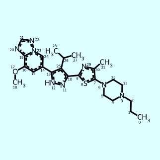 CCCN1CCN(c2sc(-c3n[nH]c(-c4cc(OC)c5ncnn5c4)c3C(C)C)nc2C)CC1